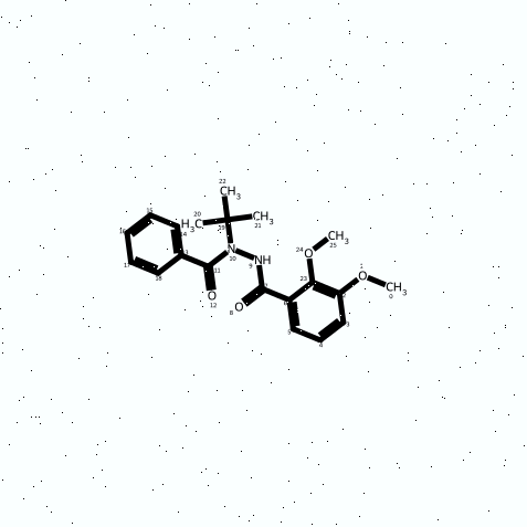 COc1cccc(C(=O)NN(C(=O)c2ccccc2)C(C)(C)C)c1OC